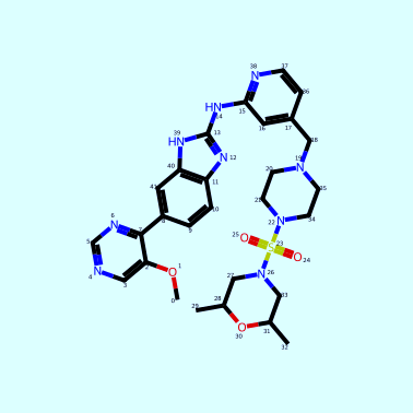 COc1cncnc1-c1ccc2nc(Nc3cc(CN4CCN(S(=O)(=O)N5CC(C)OC(C)C5)CC4)ccn3)[nH]c2c1